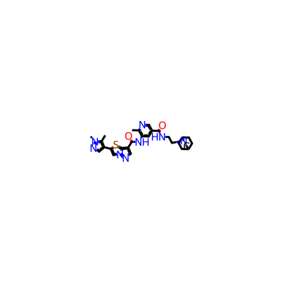 Cc1ncc(C(=O)NCCN2CC3CCC2CC3)cc1NC(=O)c1cnn2cc(-c3cnn(C)c3C)sc12